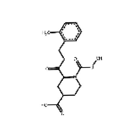 COC(=O)N1CCC(C(=O)O)CC1C(=O)CCc1ccccc1C